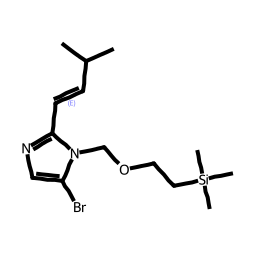 CC(C)/C=C/c1ncc(Br)n1COCC[Si](C)(C)C